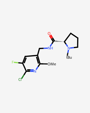 COc1nc(Cl)c(F)cc1CNC(=O)[C@@H]1CCCN1C(C)(C)C